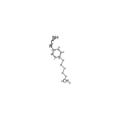 CCCCCCc1ccc(N=C=N)cc1